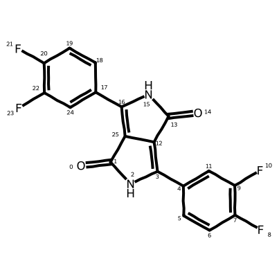 O=C1NC(c2ccc(F)c(F)c2)=C2C(=O)NC(c3ccc(F)c(F)c3)=C12